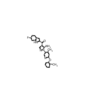 Cc1ccccc1Oc1cc(C)c(-n2ncc(C(=O)c3cc4ccc(F)cc4[nH]3)c2N)cn1